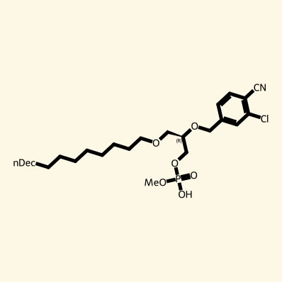 CCCCCCCCCCCCCCCCCCOC[C@H](COP(=O)(O)OC)OCc1ccc(C#N)c(Cl)c1